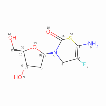 NC1=C(F)CN([C@H]2C[C@H](O)[C@@H](CO)O2)C(=O)S1